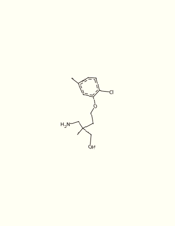 Cc1ccc(Cl)c(OCCC(C)(CN)CO)c1